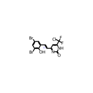 O=c1nc(/C=C/c2cc(Br)cc(Br)c2O)cc(C(F)(F)Cl)[nH]1